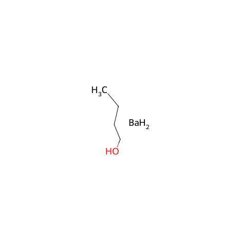 CCCCO.[BaH2]